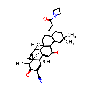 C[C@@H]1C(=O)C(C#N)=C[C@]2(C)C3=CC(=O)C4C5CC(C)(C)CC[C@]5(CCC(=O)N5CCC5)CC[C@@]4(C)[C@]3(C)CC[C@@H]12